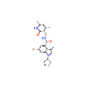 Cc1cc(C)c(CNC(=O)c2cc(Br)cc3c2c(C)cn3C2CCCC2)c(=O)[nH]1